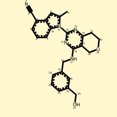 Cc1cc2c(C#N)cccc2n1-c1nc2c(c(NCc3cccc(CO)c3)n1)COCC2